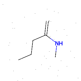 [CH]=C(CCC)NC